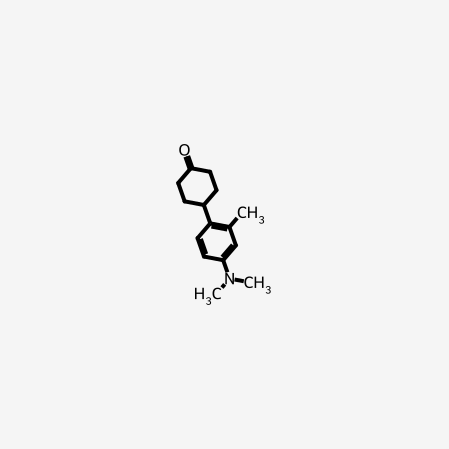 Cc1cc(N(C)C)ccc1C1CCC(=O)CC1